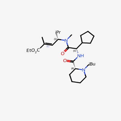 CCOC(=O)/C(C)=C/[C@H](C(C)C)N(C)C(=O)[C@@H](NC(=O)[C@H]1CCCCN1C(C)CC)C1CCCC1